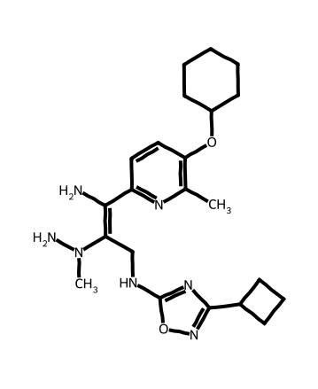 Cc1nc(/C(N)=C(\CNc2nc(C3CCC3)no2)N(C)N)ccc1OC1CCCCC1